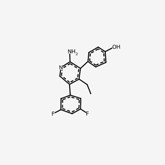 CCc1c(-c2cc(F)cc(F)c2)cnc(N)c1-c1ccc(O)cc1